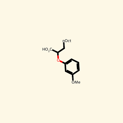 CCCCCCCCCC(Oc1cccc(OC)c1)C(=O)O